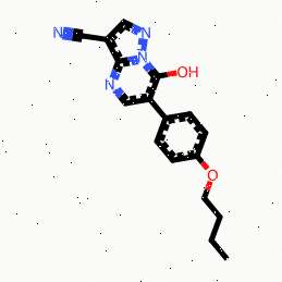 CCCCOc1ccc(-c2cnc3c(C#N)cnn3c2O)cc1